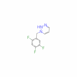 Fc1cc(F)c(CN2C=CC=NN2)cc1F